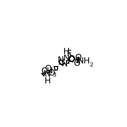 CC1(NC(=O)O[C@H]2C[C@@H](c3cnc(Nc4c(F)cc(S(N)(=O)=O)cc4F)nc3)C2)CC1